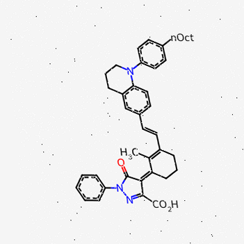 CCCCCCCCc1ccc(N2CCCc3cc(/C=C/C4=C(C)C(=C5\C(=O)N(c6ccccc6)N=C5C(=O)O)/CCC4)ccc32)cc1